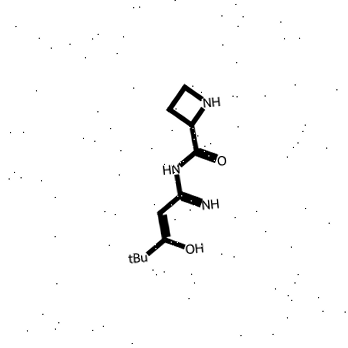 CC(C)(C)/C(O)=C/C(=N)NC(=O)C1CCN1